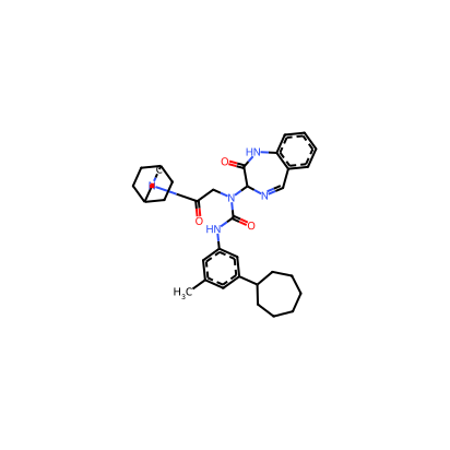 Cc1cc(NC(=O)N(CC(=O)N2CC3CCC(CC3)C2)C2N=Cc3ccccc3NC2=O)cc(C2CCCCCC2)c1